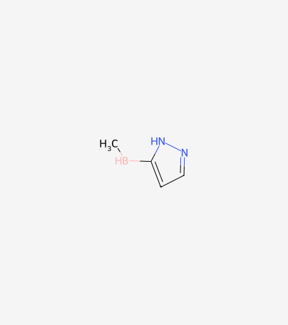 CBc1ccn[nH]1